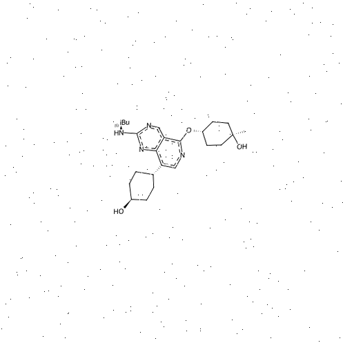 CC[C@H](C)Nc1ncc2c(O[C@H]3CC[C@](C)(O)CC3)ncc([C@H]3CC[C@H](O)CC3)c2n1